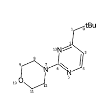 CC(C)(C)Cc1ccnc(N2CCOCC2)n1